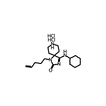 C=CCCCN1C(=O)N=C(NC2CCCCC2)C12CCNCC2.Cl.Cl